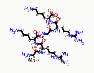 N=C(N)NCCC[C@H](NC(=O)CN)C(=O)N[C@@H](CCCCN)C(=O)[O-].N=C(N)NCCC[C@H](NC(=O)CN)C(=O)N[C@@H](CCCCN)C(=O)[O-].[Mn+2]